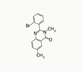 Cc1ccc2nc(-c3ccccc3Br)n(C)c(=O)c2c1